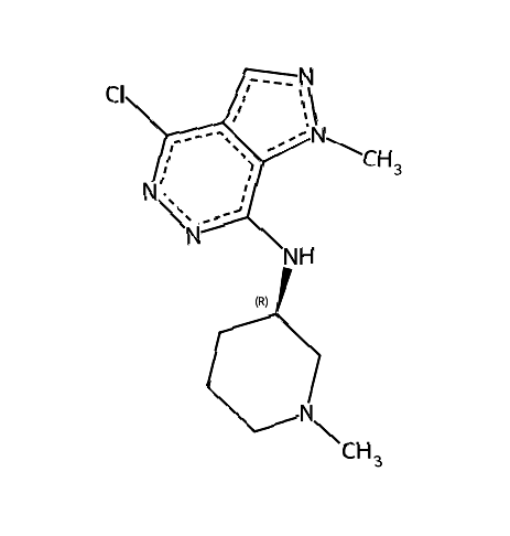 CN1CCC[C@@H](Nc2nnc(Cl)c3cnn(C)c23)C1